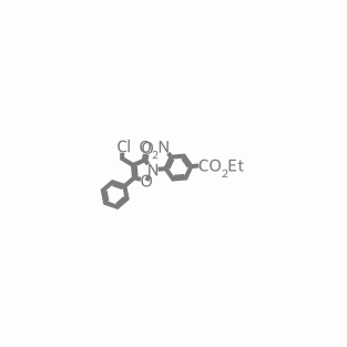 CCOC(=O)c1ccc(-n2oc(-c3ccccc3)c(CCl)c2=O)c([N+](=O)[O-])c1